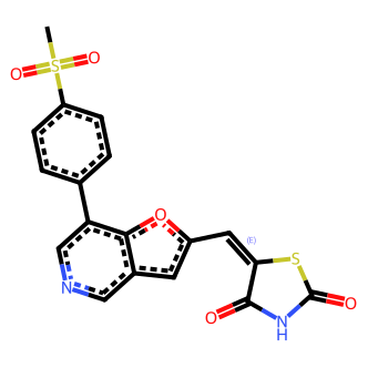 CS(=O)(=O)c1ccc(-c2cncc3cc(/C=C4/SC(=O)NC4=O)oc23)cc1